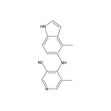 Cc1cncc(C#N)c1Nc1ccc2[nH]ccc2c1C